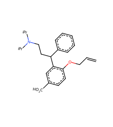 C=CCOc1ccc(C(=O)O)cc1C(CCN(C(C)C)C(C)C)c1ccccc1